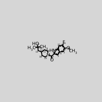 COc1cc2cc(C(=O)N3CCC(CC(C)(C)O)CC3)[nH]c2cc1F